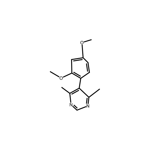 COc1ccc(-c2c(C)ncnc2C)c(OC)c1